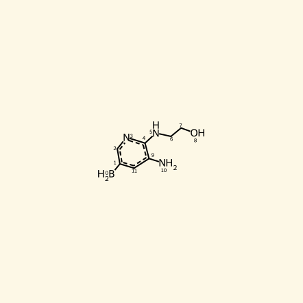 Bc1cnc(NCCO)c(N)c1